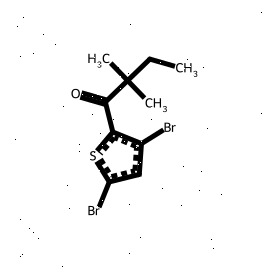 CCC(C)(C)C(=O)c1sc(Br)cc1Br